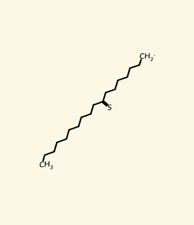 [CH2]CCCCCCC(=S)CCCCCCCCCC